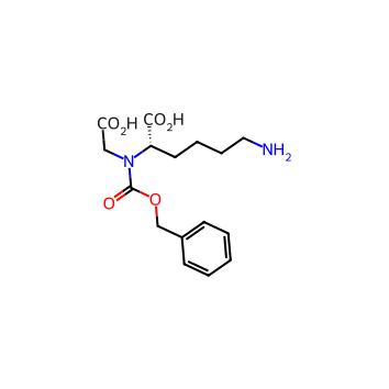 NCCCC[C@@H](C(=O)O)N(CC(=O)O)C(=O)OCc1ccccc1